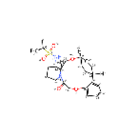 C[C@H](C(F)(F)F)S(=O)(=O)N[C@H]1CCCN2C(=O)COc3ccccc3[C@H]3CC[C@H](CC3)OC[C@@H]12